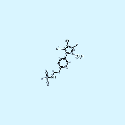 CCc1c(C#N)c(-c2ccc(CCNS(C)(=O)=O)cc2)c(C(=O)O)n1C